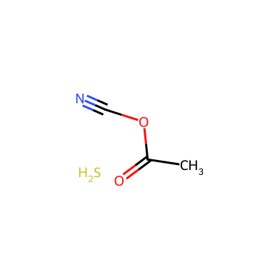 CC(=O)OC#N.S